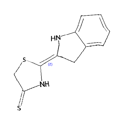 S=C1CS/C(=C2/Cc3ccccc3N2)N1